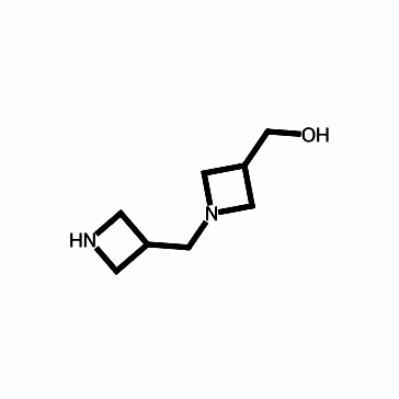 OCC1CN(CC2CNC2)C1